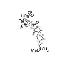 CON(C)CCc1ccc(-c2ccc3c(c2F)CN(CC[C@](C)(CN(O)C(=O)C(F)(F)F)S(C)(=O)=O)C3=O)cc1